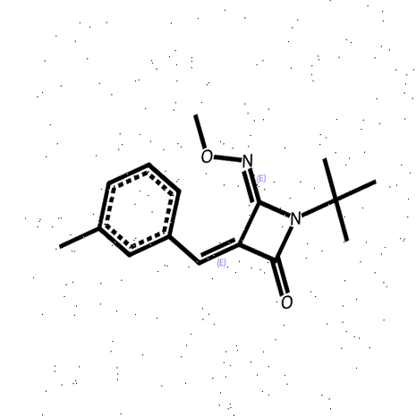 CO/N=C1\C(=C/c2cccc(C)c2)C(=O)N1C(C)(C)C